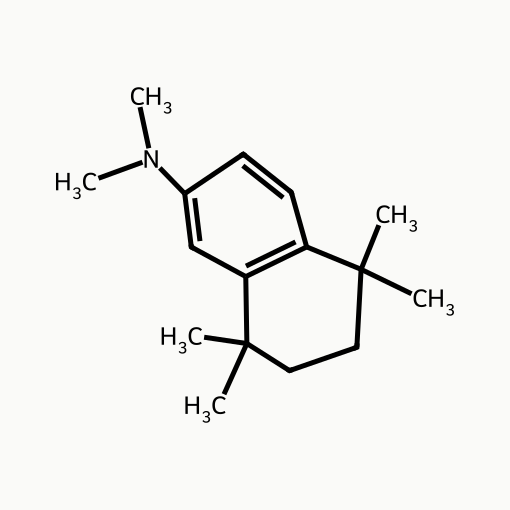 CN(C)c1ccc2c(c1)C(C)(C)CCC2(C)C